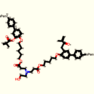 C=C(C)C(=O)Cc1cc(-c2ccc(CCCCC)cc2)ccc1OCCCCCOC(=O)CCN(CCO)CCC(=O)OCCCCCOc1ccc(-c2ccc(CCCCC)cc2)cc1OC(=O)C(=C)C